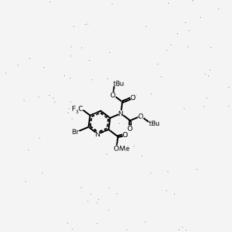 COC(=O)c1nc(Br)c(C(F)(F)F)cc1N(C(=O)OC(C)(C)C)C(=O)OC(C)(C)C